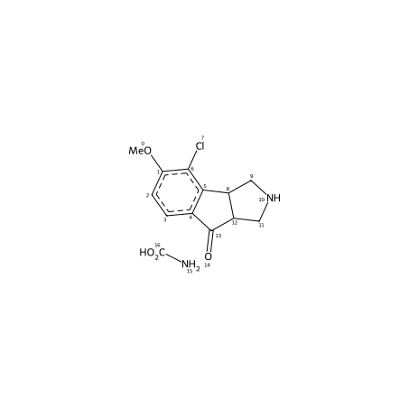 COc1ccc2c(c1Cl)C1CNCC1C2=O.NC(=O)O